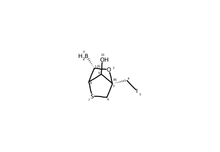 B[C@@H]1O[C@@]2(CI)CSC1C2O